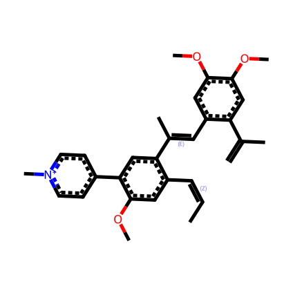 C=C(C)c1cc(OC)c(OC)cc1/C=C(\C)c1cc(-c2cc[n+](C)cc2)c(OC)cc1/C=C\C